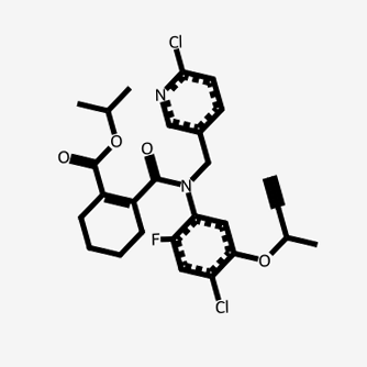 C#CC(C)Oc1cc(N(Cc2ccc(Cl)nc2)C(=O)C2=C(C(=O)OC(C)C)CCCC2)c(F)cc1Cl